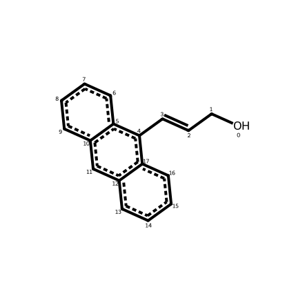 OCC=Cc1c2ccccc2cc2ccccc12